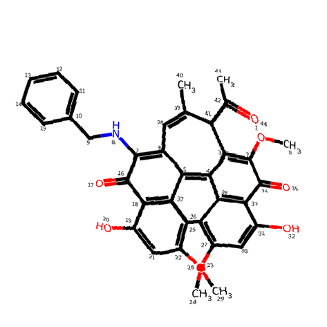 COc1c2c3c4c(c(NCc5ccccc5)c(=O)c5c(O)cc(OC)c(c6c(OC)cc(O)c(c1=O)c63)c54)C=C(C)C2C(C)=O